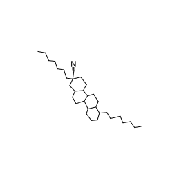 CCCCCCCC1CCCC2C1CCC1C3CCC(C#N)(CCCCCCC)CC3CCC21